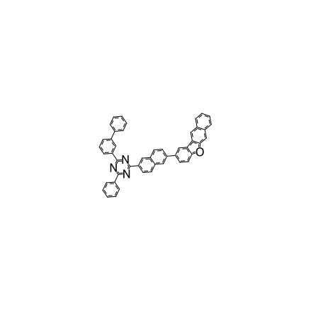 c1ccc(-c2cccc(-c3nc(-c4ccccc4)nc(-c4ccc5cc(-c6ccc7oc8cc9ccccc9cc8c7c6)ccc5c4)n3)c2)cc1